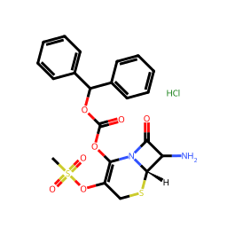 CS(=O)(=O)OC1=C(OC(=O)OC(c2ccccc2)c2ccccc2)N2C(=O)C(N)[C@@H]2SC1.Cl